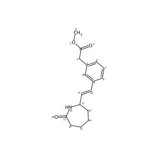 COC(=O)Cc1cccc(C=CC2CCCCC(=O)N2)c1